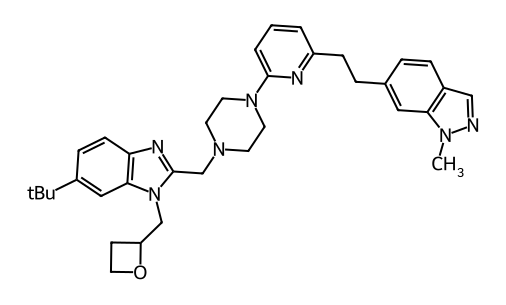 Cn1ncc2ccc(CCc3cccc(N4CCN(Cc5nc6ccc(C(C)(C)C)cc6n5CC5CCO5)CC4)n3)cc21